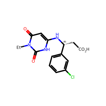 CCn1c(=O)cc(N[C@H](CC(=O)O)c2cccc(Cl)c2)[nH]c1=O